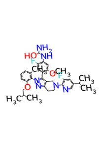 COc1cc(NC(N)O)c(F)cc1-c1c2c(nn1-c1c(C)cccc1OCC(C)C)CCN(c1ncc(C(C)C)cc1F)C2